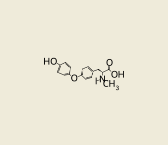 CN(I)[C@@H](Cc1ccc(Oc2ccc(O)cc2)cc1)C(=O)O